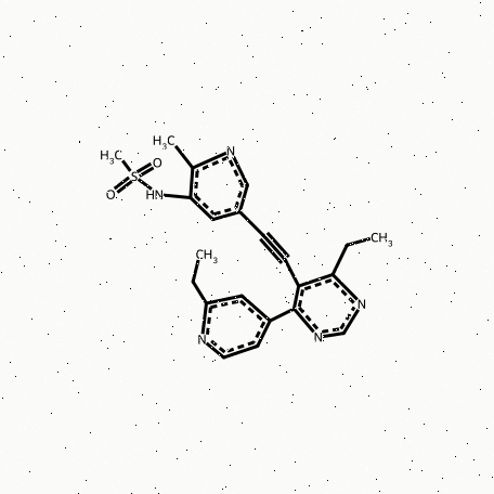 CCc1cc(-c2ncnc(CC)c2C#Cc2cnc(C)c(NS(C)(=O)=O)c2)ccn1